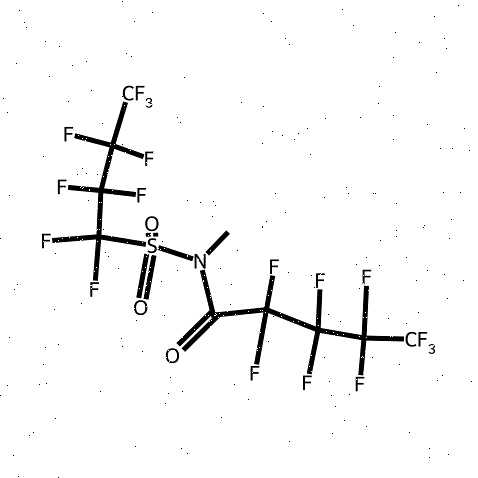 CN(C(=O)C(F)(F)C(F)(F)C(F)(F)C(F)(F)F)S(=O)(=O)C(F)(F)C(F)(F)C(F)(F)C(F)(F)F